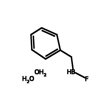 FBCc1ccccc1.O.O